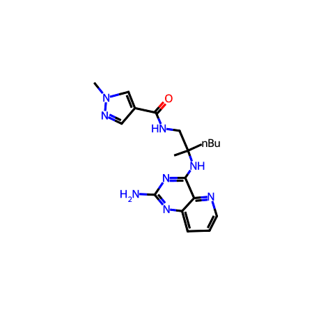 CCCCC(C)(CNC(=O)c1cnn(C)c1)Nc1nc(N)nc2cccnc12